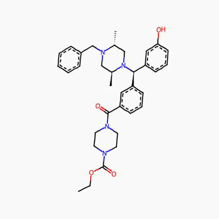 CCOC(=O)N1CCN(C(=O)c2cccc([C@H](c3cccc(O)c3)N3C[C@@H](C)N(Cc4ccccc4)C[C@@H]3C)c2)CC1